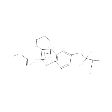 [2H]C([2H])(Oc1ccc2c(c1)[C@]13CCCC[C@@H]1[C@H](C2)N(C(=O)OC(C)(C)C)CC3)C(F)F